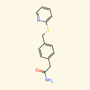 NC(=O)Cc1ccc(CSc2ccccn2)cc1